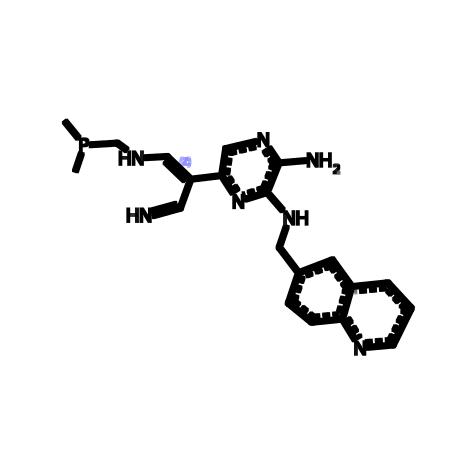 CP(C)CN/C=C(\C=N)c1cnc(N)c(NCc2ccc3ncccc3c2)n1